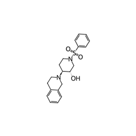 O=S(=O)(c1ccccc1)N1CC[C@H](N2CCc3ccccc3C2)[C@@H](O)C1